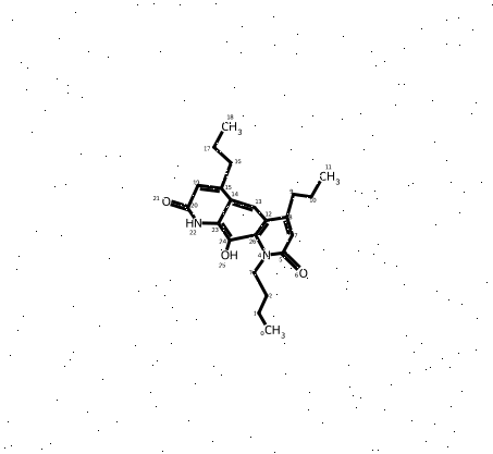 CCCCn1c(=O)cc(CCC)c2cc3c(CCC)cc(=O)[nH]c3c(O)c21